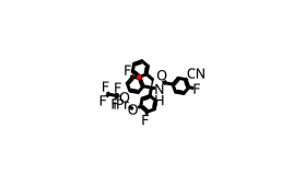 CC(C)Oc1cc([C@@](Cc2ccccc2)(NC(=O)c2ccc(F)c(C#N)c2)c2cc(F)cc(OC(F)(F)C(F)F)c2)ccc1F